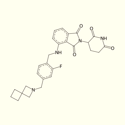 O=C1CCC(N2C(=O)c3cccc(NCc4ccc(CN5CC6(CCC6)C5)cc4F)c3C2=O)C(=O)N1